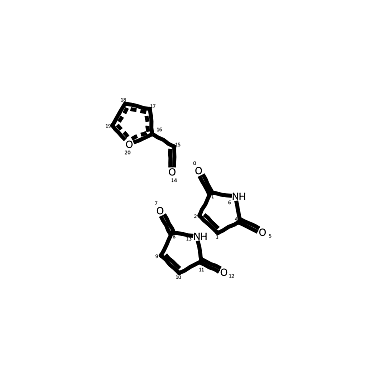 O=C1C=CC(=O)N1.O=C1C=CC(=O)N1.O=Cc1ccco1